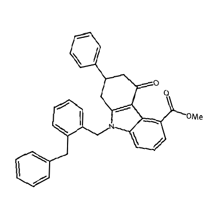 COC(=O)c1cccc2c1c1c(n2Cc2ccccc2Cc2ccccc2)CC(c2ccccc2)CC1=O